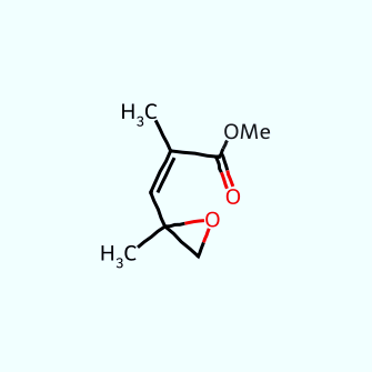 COC(=O)C(C)=CC1(C)CO1